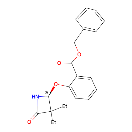 CCC1(CC)C(=O)N[C@H]1Oc1ccccc1C(=O)OCc1ccccc1